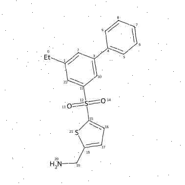 CCc1cc(-c2ccccc2)cc(S(=O)(=O)c2ccc(CN)s2)c1